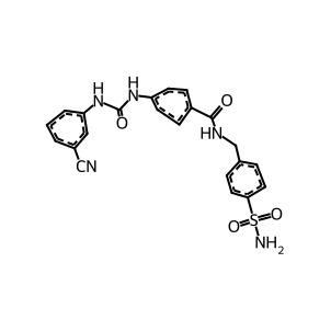 N#Cc1cccc(NC(=O)Nc2ccc(C(=O)NCc3ccc(S(N)(=O)=O)cc3)cc2)c1